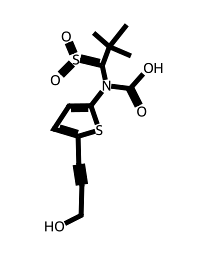 CC(C)(C)C(N(C(=O)O)c1ccc(C#CCO)s1)=S(=O)=O